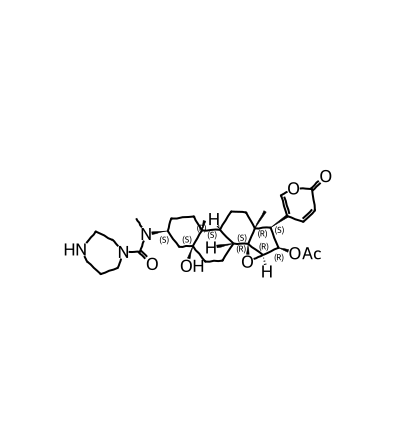 CC(=O)O[C@H]1[C@H]2O[C@]23[C@@H]2CC[C@]4(O)C[C@@H](N(C)C(=O)N5CCCNCC5)CC[C@]4(C)[C@H]2CC[C@]3(C)[C@H]1c1ccc(=O)oc1